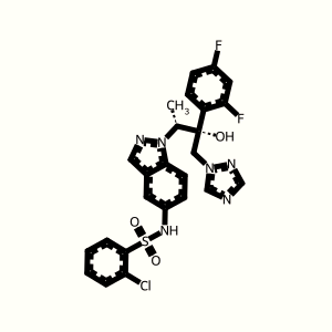 C[C@@H](n1ncc2cc(NS(=O)(=O)c3ccccc3Cl)ccc21)[C@](O)(Cn1cncn1)c1ccc(F)cc1F